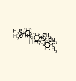 Cc1cccc(C(C)(C)N(C)C2CCC(Nc3nccc(N(C)C)n3)CC2)c1C